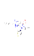 CSc1ncc2c(=O)n(C(C)C)n(-c3ccsc3)c2n1